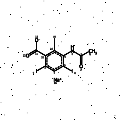 CC(=O)Nc1c(I)cc(I)c(C(=O)[O-])c1I.[Na+]